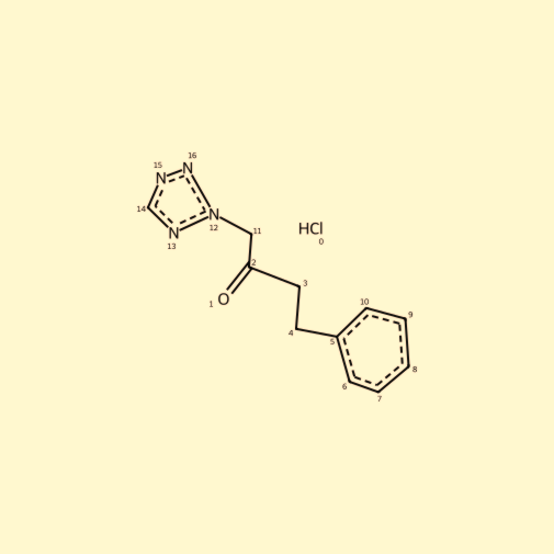 Cl.O=C(CCc1ccccc1)Cn1ncnn1